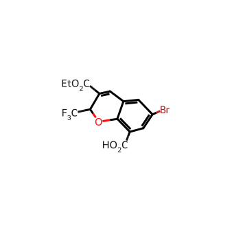 CCOC(=O)C1=Cc2cc(Br)cc(C(=O)O)c2OC1C(F)(F)F